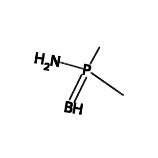 B=P(C)(C)N